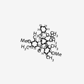 COc1c(C)cc(P(=O)(c2cc(C)c(OC)c(C)c2)c2cc(Oc3ccccc3)c3c(c2Br)OC(C)(C)O3)cc1C